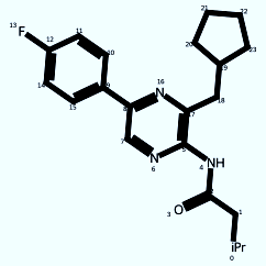 CC(C)CC(=O)Nc1ncc(-c2ccc(F)cc2)nc1CC1CCCC1